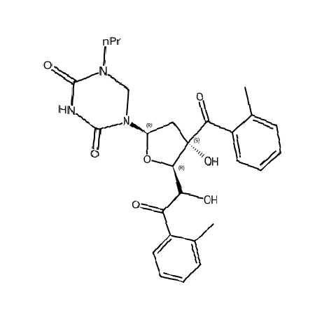 CCCN1CN([C@H]2C[C@@](O)(C(=O)c3ccccc3C)[C@@H](C(O)C(=O)c3ccccc3C)O2)C(=O)NC1=O